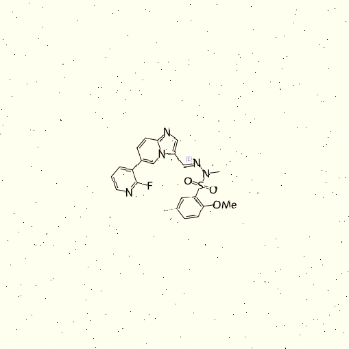 COc1ccc(C)cc1S(=O)(=O)N(C)/N=C/c1cnc2ccc(-c3cccnc3F)cn12